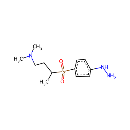 CC(CCN(C)C)S(=O)(=O)c1ccc(NN)cc1